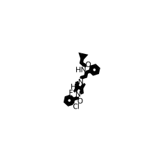 O=C(CC1CC1)NC(CCN1CC2CN(C(=O)c3c(F)cccc3Cl)C[C@@H]2C1)c1ccccc1